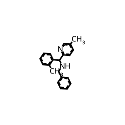 Cc1ccc(C(NCc2ccccc2)c2ccccc2C)nc1